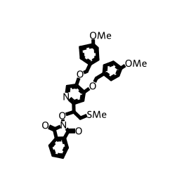 COc1ccc(COc2cnc(C(CSC)ON3C(=O)c4ccccc4C3=O)cc2OCc2ccc(OC)cc2)cc1